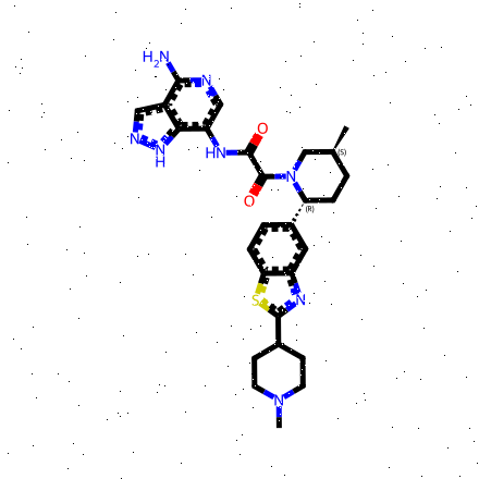 C[C@H]1CC[C@H](c2ccc3sc(C4CCN(C)CC4)nc3c2)N(C(=O)C(=O)Nc2cnc(N)c3cn[nH]c23)C1